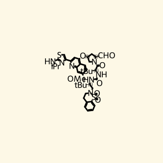 COc1ccc2c(O[C@@H]3C[C@@H](C=O)N(C(=O)[C@@H](NC(=O)N[C@H](CN4CCc5ccccc5S4(=O)=O)C(C)(C)C)C(C)(C)C)C3)cc(-c3csc(NC(C)C)n3)nc2c1